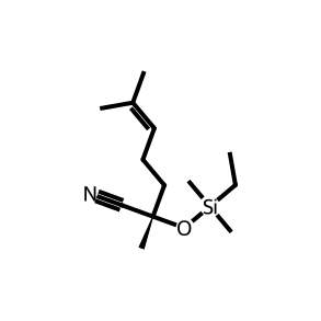 CC[Si](C)(C)O[C@](C)(C#N)CCC=C(C)C